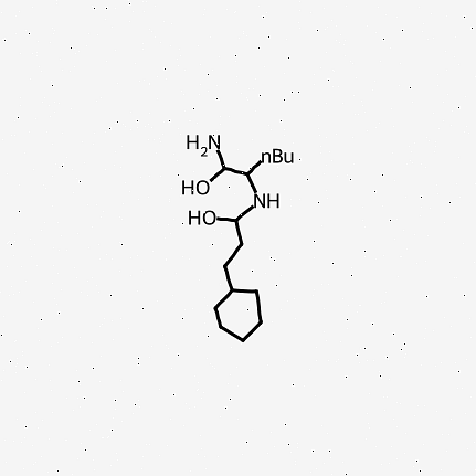 CCCCC(NC(O)CCC1CCCCC1)C(N)O